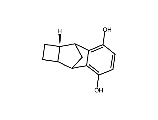 Oc1ccc(O)c2c1C1CC2[C@H]2CCC12